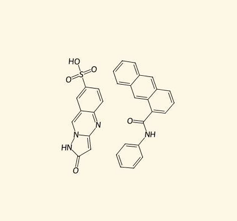 O=C(Nc1ccccc1)c1cccc2cc3ccccc3cc12.O=c1cc2nc3ccc(S(=O)(=O)O)cc3cn2[nH]1